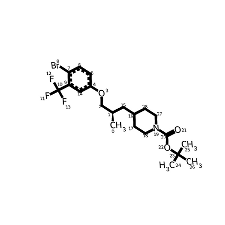 C[C@@H](COc1ccc(Br)c(C(F)(F)F)c1)CC1CCN(C(=O)OC(C)(C)C)CC1